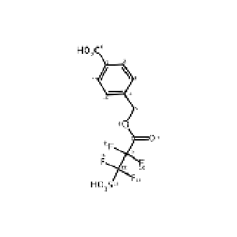 O=C(O)c1ccc(COC(=O)C(F)(F)C(F)(F)S(=O)(=O)O)cc1